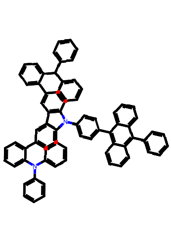 c1ccc(-c2c3ccccc3c(-c3ccc(-n4c5ccc(-c6ccccc6C(c6ccccc6)c6ccccc6)cc5c5cc(-c6ccccc6N(c6ccccc6)c6ccccc6)ccc54)cc3)c3ccccc23)cc1